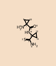 NC(=S)C1(NC(=O)C2(N)CC2)CC1